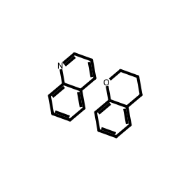 c1ccc2c(c1)CCCO2.c1ccc2ncccc2c1